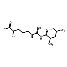 CC(C)CC(C)C(=O)NC(=N)NCCCC(N)C(=O)O